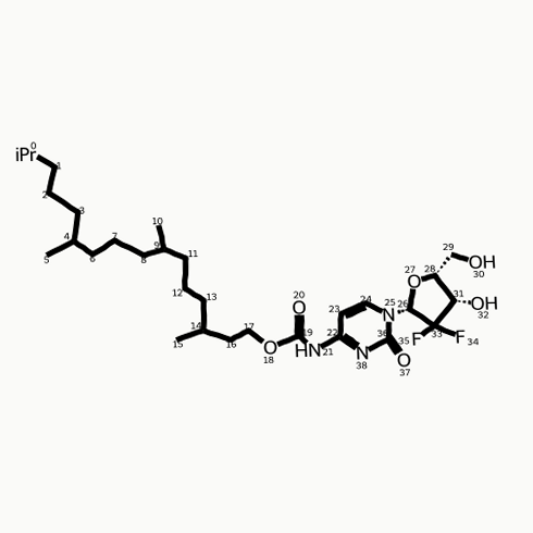 CC(C)CCCC(C)CCCC(C)CCCC(C)CCOC(=O)Nc1ccn([C@@H]2O[C@H](CO)[C@H](O)C2(F)F)c(=O)n1